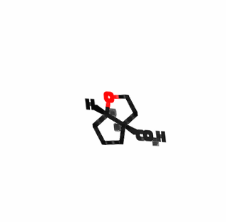 O=C(O)[C@@]12CCC[C@@H]1OCC2